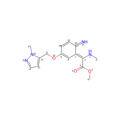 CN/C(C(=O)OC)=C1/C=C(OCc2ccnn2C)C=CC1=N